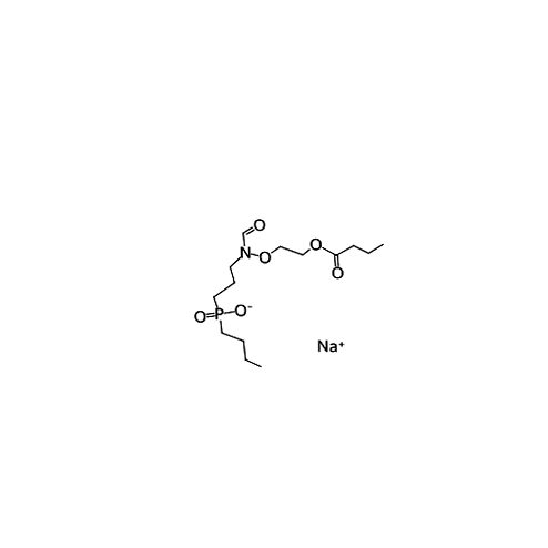 CCCCP(=O)([O-])CCCN(C=O)OCCOC(=O)CCC.[Na+]